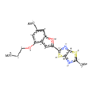 COCCOc1cc(OC)cc2oc(-c3nc4sc(OC)nc4s3)cc12